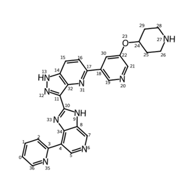 c1ccc(-c2cncc3[nH]c(-c4n[nH]c5ccc(-c6cncc(OC7CCNCC7)c6)nc45)nc23)nc1